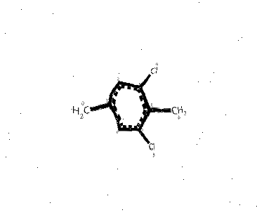 [CH2]c1cc(Cl)c(C)c(Cl)c1